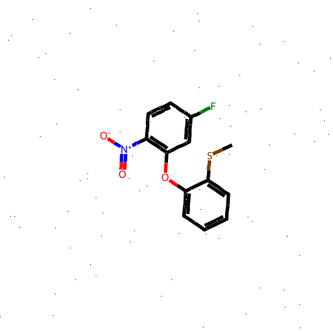 CSc1ccccc1Oc1cc(F)ccc1[N+](=O)[O-]